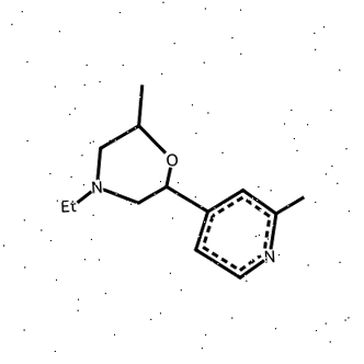 CCN1CC(C)OC(c2ccnc(C)c2)C1